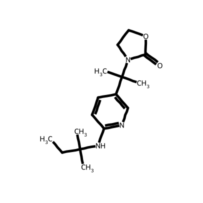 CCC(C)(C)Nc1ccc(C(C)(C)N2CCOC2=O)cn1